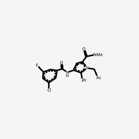 CNC(=O)c1cc(NC(=O)c2cc(F)cc(Cl)c2)c(C(C)C)n1CC(C)=O